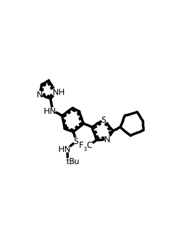 CC(C)(C)NSc1cc(Nc2ncc[nH]2)ccc1-c1sc(C2CCCCC2)nc1C(F)(F)F